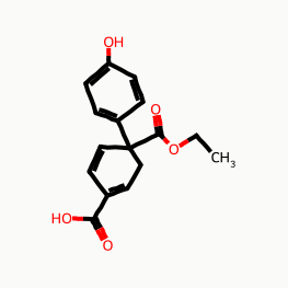 CCOC(=O)C1(c2ccc(O)cc2)C=CC(C(=O)O)=CC1